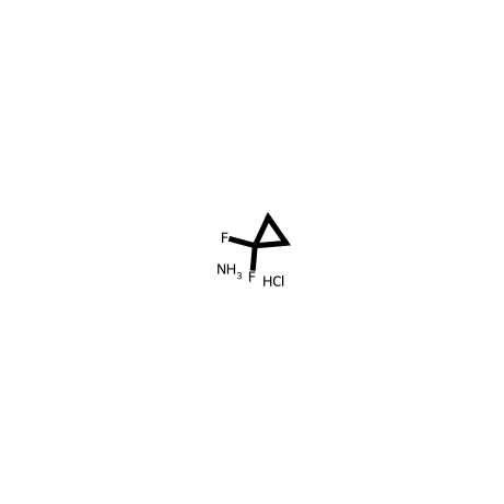 Cl.FC1(F)CC1.N